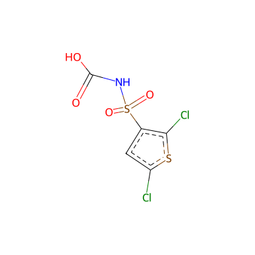 O=C(O)NS(=O)(=O)c1cc(Cl)sc1Cl